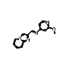 COc1cc(N=Cc2cn3ccccc3n2)ccn1